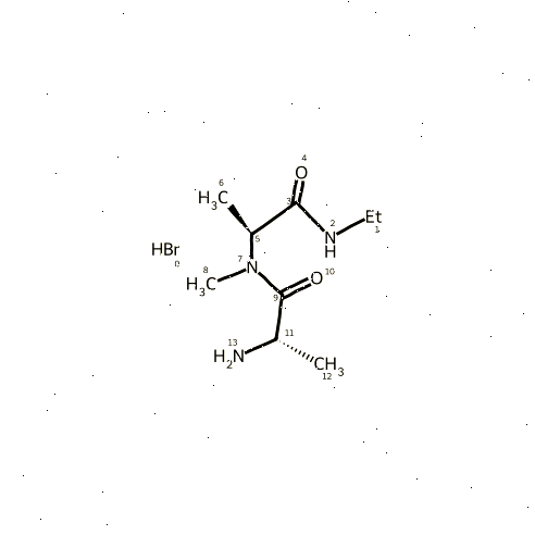 Br.CCNC(=O)[C@H](C)N(C)C(=O)[C@H](C)N